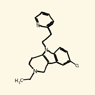 CCN1CCc2c(c3cc(Cl)ccc3n2CCc2ccccn2)C1